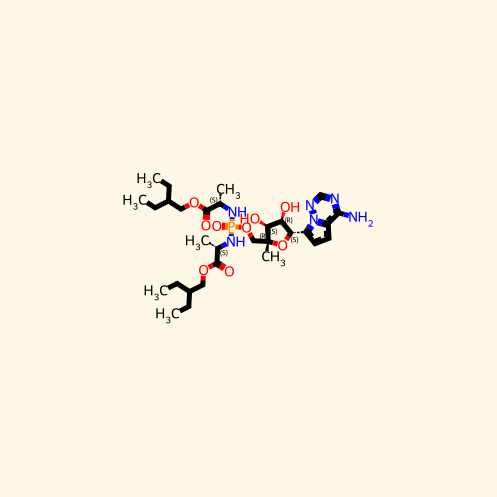 CCC(CC)COC(=O)[C@H](C)NP(=O)(N[C@@H](C)C(=O)OCC(CC)CC)OC[C@@]1(C)O[C@@H](c2ccc3c(N)ncnn23)[C@H](O)[C@@H]1O